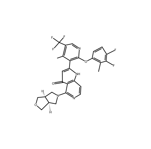 Cc1c(Oc2ncc(C(F)(F)F)c(C)c2-c2cc(=O)c3c(N4C[C@H]5COC[C@H]5C4)nccc3[nH]2)ccc(F)c1F